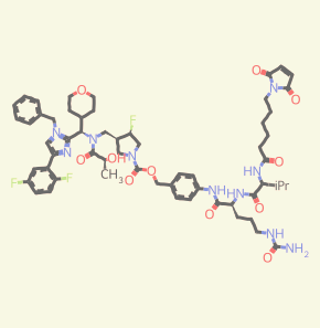 CC(C)C(NC(=O)CCCCCN1C(=O)C=CC1=O)C(=O)N[C@@H](CCCNC(N)=O)C(=O)Nc1ccc(COC(=O)N2C[C@@H](CN(C(=O)[C@H](C)O)[C@@H](c3nc(-c4cc(F)ccc4F)cn3Cc3ccccc3)C3CCOCC3)[C@@H](F)C2)cc1